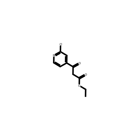 CCOC(=O)CC(=O)c1ccnc(Cl)c1